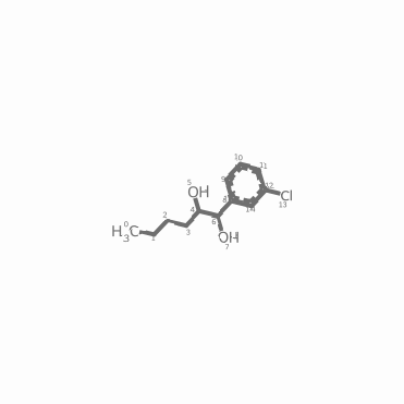 CCCCC(O)C(O)c1cccc(Cl)c1